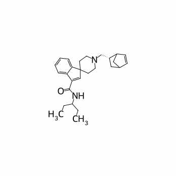 CCC(CC)NC(=O)C1=CC2(CCN(C[C@H]3CC4C=CC3C4)CC2)c2ccccc21